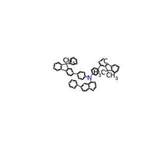 CC1(C)c2ccccc2-c2cccc(-c3ccc(N(c4ccc(-c5ccc6c(c5)C(C)(c5ccccc5)c5ccccc5-6)cc4)c4cccc5ccc(-c6ccccc6)cc45)cc3)c21